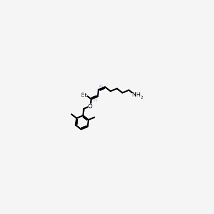 CC/C(=C\C=C/CCCCN)OCc1c(C)cccc1C